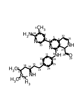 Cc1cc(-c2cc3c(c(Nc4ccc(CCC(=N)CC(C)N(C)C)cc4)n2)C(C=O)NC=C3)cnc1N